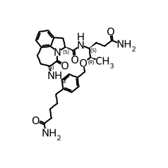 C[C@@H](OCc1ccc(CCCCC(N)=O)cc1)[C@H](CCC(N)=O)NC(=O)[C@@H]1Cc2cccc3c2N1C(=O)[C@@H](N)CC3